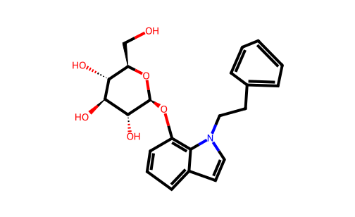 OC[C@H]1O[C@@H](Oc2cccc3ccn(CCc4ccccc4)c23)[C@H](O)[C@@H](O)[C@@H]1O